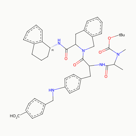 CC(C(=O)NC(Cc1ccc(NCc2ccc(C(=O)O)cc2)cc1)C(=O)N1Cc2ccccc2CC1C(=O)N[C@@H]1CCCc2ccccc21)N(C)C(=O)OC(C)(C)C